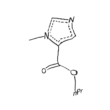 CCCOC(=O)c1cncn1C